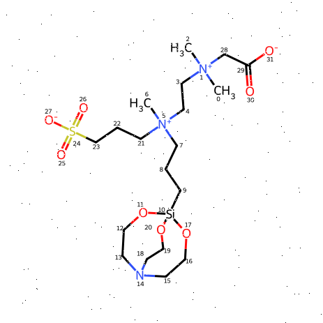 C[N+](C)(CC[N+](C)(CCC[Si]12OCCN(CCO1)CCO2)CCCS(=O)(=O)[O-])CC(=O)[O-]